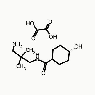 CC(C)(CN)CNC(=O)[C@H]1CC[C@H](O)CC1.O=C(O)C(=O)O